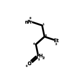 CCCCC(CC)C[PH2]=O